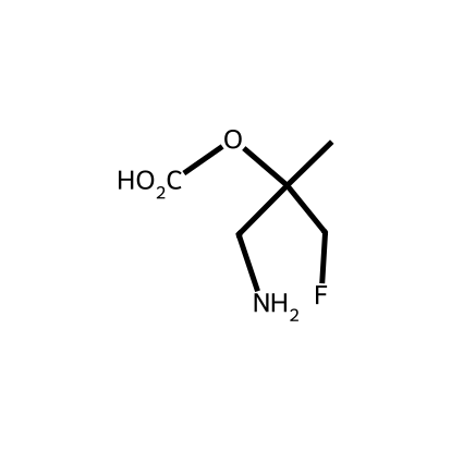 CC(CN)(CF)OC(=O)O